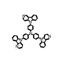 c1ccc2c(c1)c1cnccc1n2-c1ccc(N(c2ccc(-n3c4ccccc4c4cnccc43)cc2)c2ccc(-n3c4ccccc4c4ncccc43)cc2)cc1